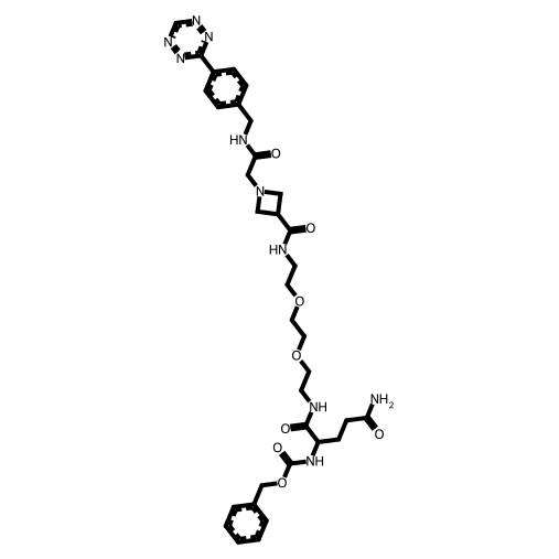 NC(=O)CCC(NC(=O)OCc1ccccc1)C(=O)NCCOCCOCCNC(=O)C1CN(CC(=O)NCc2ccc(-c3nncnn3)cc2)C1